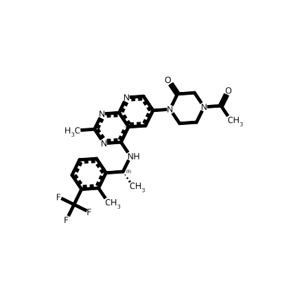 CC(=O)N1CCN(c2cnc3nc(C)nc(N[C@H](C)c4cccc(C(F)(F)F)c4C)c3c2)C(=O)C1